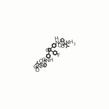 COC(=O)N[C@H](C(=O)N1CCC[C@H]1C(=O)Nc1ccc(-c2occ(-c3ccc(NC(=O)[C@@H]4CCCN4C(=O)[C@@H](N)C(C)C)cc3)c2-c2ccc(F)cc2)cc1)C(C)C